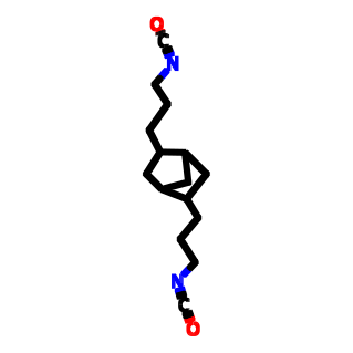 O=C=NCCCC1CC2CC1CC2CCCN=C=O